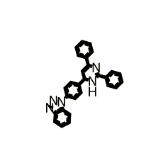 C1=C(c2ccccc2)N=C(c2ccccc2)NC1c1ccc(-n2nnc3ccccc32)cc1